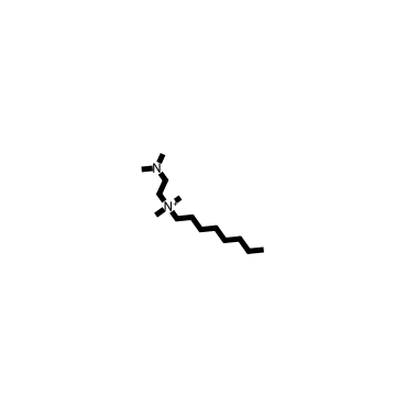 CCCCCCCC[N+](C)(C)CCN(C)C